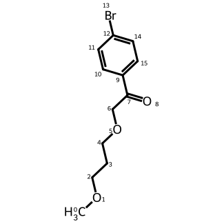 COCCCOCC(=O)c1ccc(Br)cc1